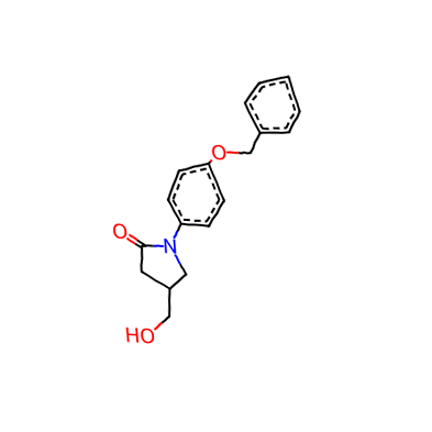 O=C1CC(CO)CN1c1ccc(OCc2ccccc2)cc1